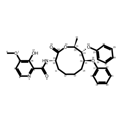 COc1ccnc(C(=O)N[C@H]2CCCC[C@H](Oc3ccccc3)[C@@H](Oc3ccccc3)[C@H](C)OC2=O)c1O